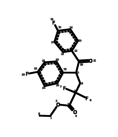 CCOC(=O)C(F)(F)CC(C(=O)c1ccc(F)cc1)c1ccc(F)cc1